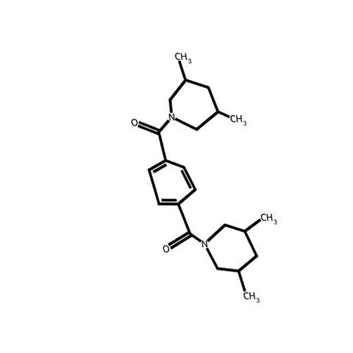 CC1CC(C)CN(C(=O)c2ccc(C(=O)N3CC(C)CC(C)C3)cc2)C1